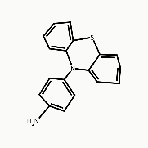 Nc1ccc(N2c3ccccc3Sc3ccccc32)cc1